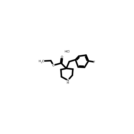 CCOC(=O)C1(Cc2ccc(F)cc2)CCNCC1.Cl